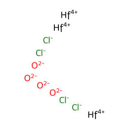 [Cl-].[Cl-].[Cl-].[Cl-].[Hf+4].[Hf+4].[Hf+4].[O-2].[O-2].[O-2].[O-2]